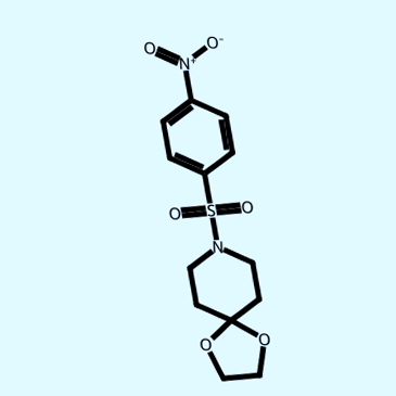 O=[N+]([O-])c1ccc(S(=O)(=O)N2CCC3(CC2)OCCO3)cc1